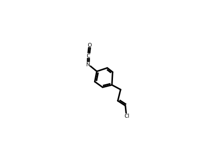 O=C=Nc1ccc(CC=CCl)cc1